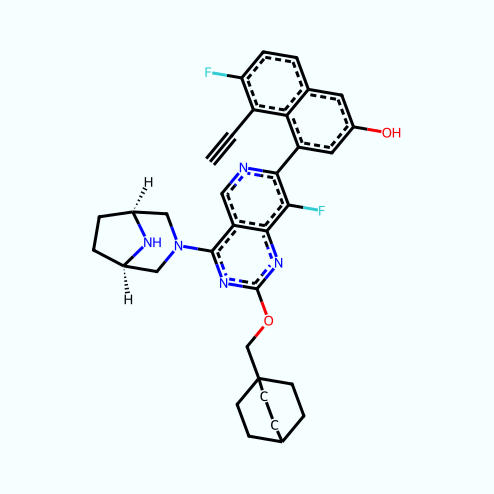 C#Cc1c(F)ccc2cc(O)cc(-c3ncc4c(N5C[C@H]6CC[C@@H](C5)N6)nc(OCC56CCC(CC5)CC6)nc4c3F)c12